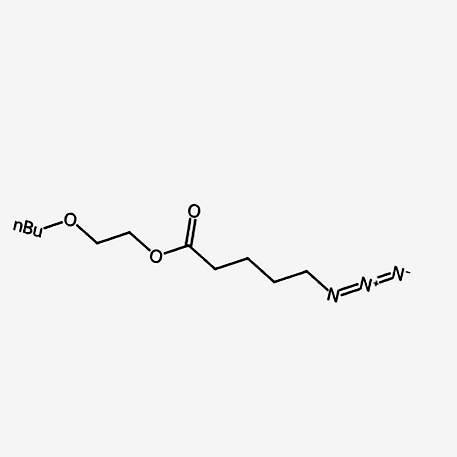 CCCCOCCOC(=O)CCCCN=[N+]=[N-]